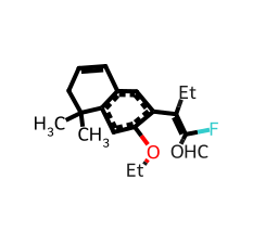 CCOc1cc2c(cc1/C(CC)=C(/F)C=O)C=CCC2(C)C